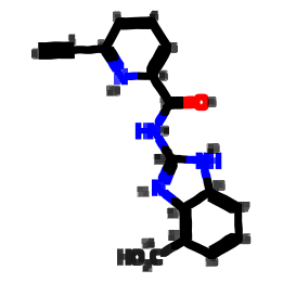 C#Cc1cccc(C(=O)Nc2nc3c(C(=O)O)cccc3[nH]2)n1